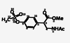 COC(=O)C(CNC(C)=O)c1ccc(OS(C)(=O)=O)cc1